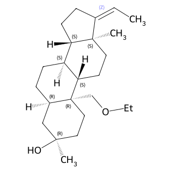 C/C=C1/CC[C@H]2[C@@H]3CC[C@@H]4C[C@](C)(O)CC[C@]4(COCC)[C@H]3CC[C@]12C